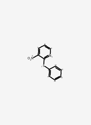 O=[N+]([O-])c1cccnc1Sc1ccccc1